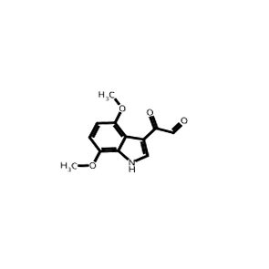 COc1ccc(OC)c2c(C(=O)C=O)c[nH]c12